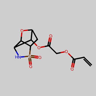 C=CC(=O)OCC(=O)OC1C2CC3C(O2)C1NS3(=O)=O